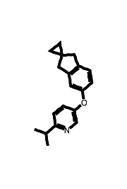 CC(C)c1ccc(Oc2ccc3c(c2)CC2(CC2)C3)cn1